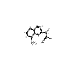 CC(=O)N(I)c1cc2c(N)cccc2cn1